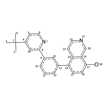 CC(C)(C)c1ccnc(-c2cccc(-c3ccc(Cl)c4cnccc34)c2)c1